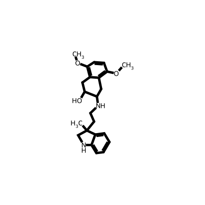 COc1ccc(OC)c2c1CC(O)C(NCCC1(C)CNc3ccccc31)C2